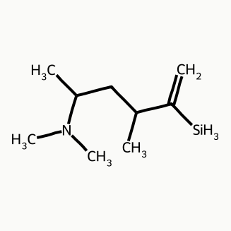 C=C([SiH3])C(C)CC(C)N(C)C